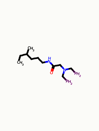 CCC(C)CCCNC(=O)CN(CP)CP